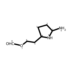 NC1CCC(CCOC=O)N1